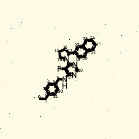 CCc1ccc(CNc2ncnc(N3CCCC3c3ccc4ccccc4c3)c2F)cc1